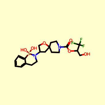 O=C(OC(CO)C(F)(F)F)N1CCC2(CC1)CC(N1CCc3ccccc3S1(O)O)CO2